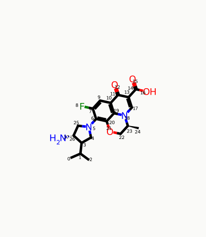 CC(C)C1CN(c2c(F)cc3c(=O)c(C(=O)O)cn4c3c2OC[C@@H]4C)C[C@H]1N